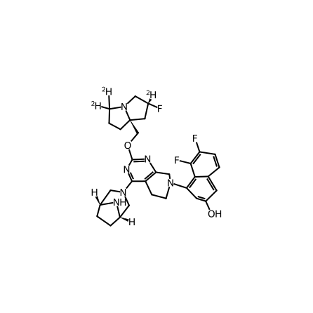 [2H]C1([2H])CC[C@@]2(COc3nc4c(c(N5C[C@H]6CC[C@@H](C5)N6)n3)CCN(c3cc(O)cc5ccc(F)c(F)c35)C4)C[C@@]([2H])(F)CN12